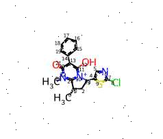 C[C@@H]1C[C@H](c2cnc(Cl)s2)[n+]2c(O)c(-c3ccccc3)c(=O)n(C)c21